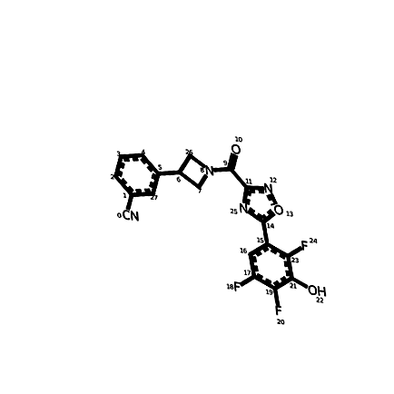 N#Cc1cccc(C2CN(C(=O)c3noc(-c4cc(F)c(F)c(O)c4F)n3)C2)c1